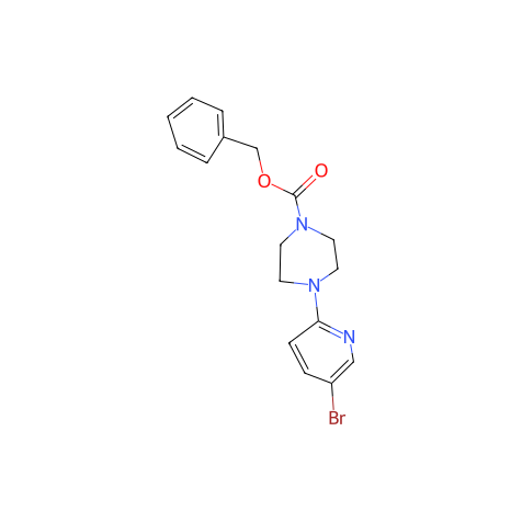 O=C(OCc1ccccc1)N1CCN(c2ccc(Br)cn2)CC1